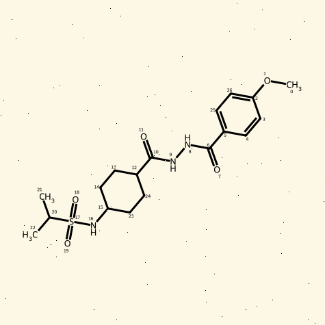 COc1ccc(C(=O)NNC(=O)C2CCC(NS(=O)(=O)C(C)C)CC2)cc1